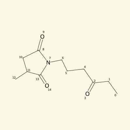 CCC(=O)CCCN1C(=O)CC(C)C1=O